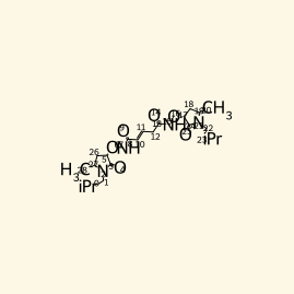 CC(C)CN1C(=O)[C@H](ONC(=O)/C=C/CC(=O)NO[C@@H]2CC(C)N(CC(C)C)C2=O)CC1C